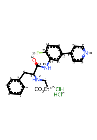 CCOC(=O)CNC(Cc1ccccc1)C(=O)Nc1cc(-c2ccncc2)ccc1F.Cl.Cl